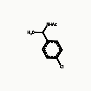 CC(=O)NC(C)c1ccc(Cl)cc1